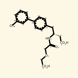 O=C(O)COCC(=O)N[C@@H](CC(=O)O)Cc1ccc(-c2cccc(Cl)c2)cc1